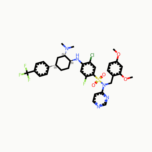 COc1ccc(CN(c2ccncn2)S(=O)(=O)c2cc(Cl)c(N[C@H]3CC[C@H](c4ccc(C(F)(F)F)cc4)C[C@@H]3N(C)C)cc2F)c(OC)c1